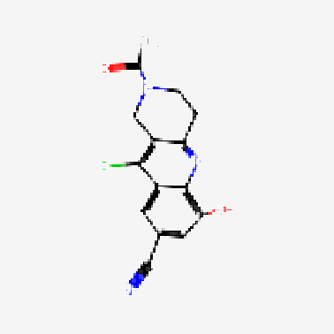 CC(=O)N1CCc2nc3c(O)cc(C#N)cc3c(Cl)c2C1